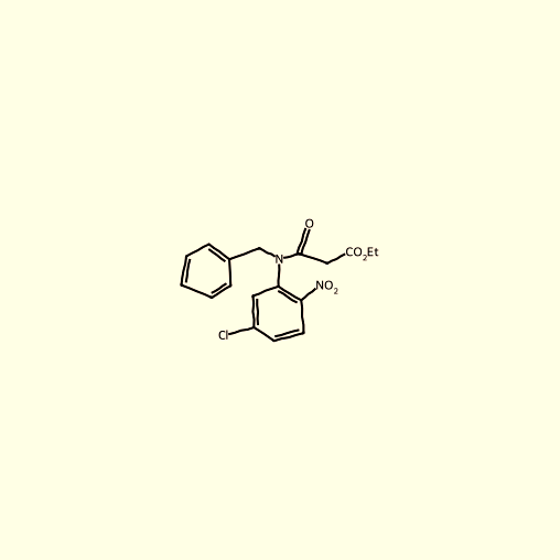 CCOC(=O)CC(=O)N(Cc1ccccc1)c1cc(Cl)ccc1[N+](=O)[O-]